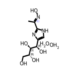 C/C(=N\O)c1nc([C@@H](O)[C@H](O)[C@H](O)CO)c[nH]1.O.O